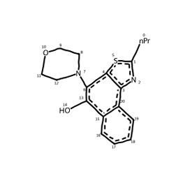 CCCc1nc2c(s1)c(N1CCOCC1)c(O)c1ccccc12